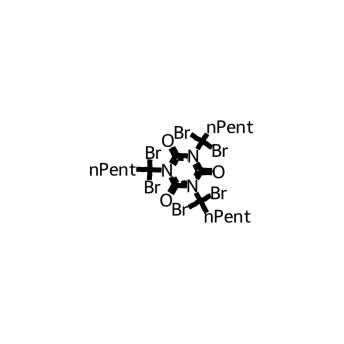 CCCCCC(Br)(Br)n1c(=O)n(C(Br)(Br)CCCCC)c(=O)n(C(Br)(Br)CCCCC)c1=O